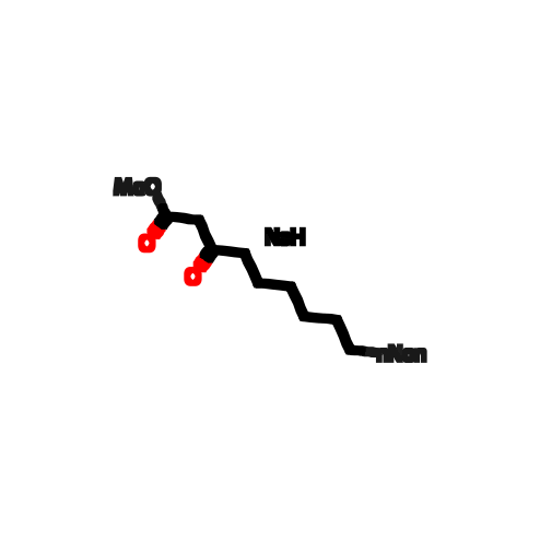 CCCCCCCCCCCCCCCC(=O)CC(=O)OC.[NaH]